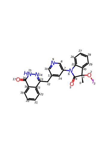 C[C@@]1(OI)C(=O)N(c2cncc(Cc3n[nH]c(=O)c4ccccc34)c2)c2ccccc21